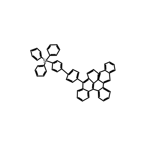 c1ccc([Si](c2ccccc2)(c2ccccc2)c2ccc(-c3ccc(-c4c5ccccc5c(-c5ccccc5-c5ccc6ccccc6c5)c5ccccc45)cc3)cc2)cc1